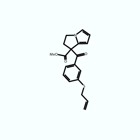 C=CCSc1cccc(C(=O)C2(C(=O)OC)CCn3cccc32)c1